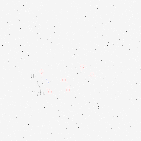 Cc1cc(C(=O)OCCN2C(=O)[C@@H]3[C@H](C2=O)[C@H]2C=C[C@@H]3C2)cc(OCc2ccccc2)c1OCc1ccccc1